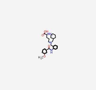 COc1cccc(C(=O)Nc2ccccc2CN(CCC[C@H](N)C(=O)O)CC2CCCCC2)c1